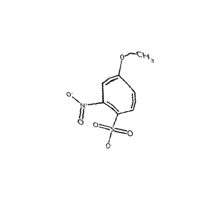 COc1ccc(S([O])(=O)=O)c([N+](=O)[O-])c1